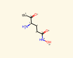 CC(C)(C)C(=O)[C@H](N)CCC(=O)NO